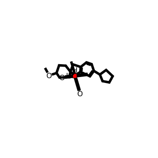 COC1CCC2(CC1)Cc1ccc(C3CCCC3)cc1C21NC(=O)NC1=O